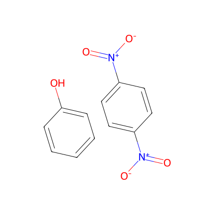 O=[N+]([O-])c1ccc([N+](=O)[O-])cc1.Oc1ccccc1